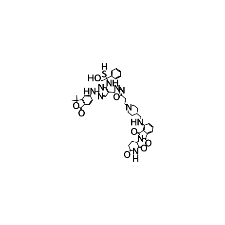 CC1(C)OC(=O)c2ccc(Nc3ncc(-c4nnc(CCN5CCC(CNc6cccc7c6C(=O)N(C6CCC(=O)NC6=O)C7=O)CC5)o4)c(N[C@@](S)(CO)c4ccccc4)n3)cc21